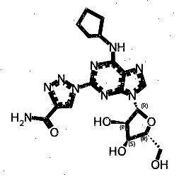 NC(=O)c1cn(-c2nc(NC3CCCC3)c3ncn([C@@H]4O[C@H](CO)[C@@H](O)[C@H]4O)c3n2)nn1